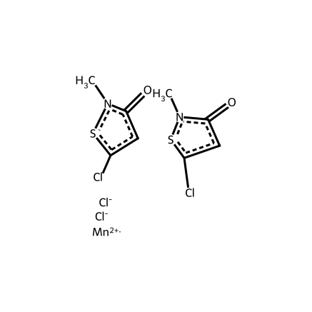 Cn1sc(Cl)cc1=O.Cn1sc(Cl)cc1=O.[Cl-].[Cl-].[Mn+2]